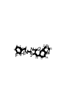 O=C1N=C(NCc2cccc(F)c2)SC1=Cc1ccc2ncncc2c1